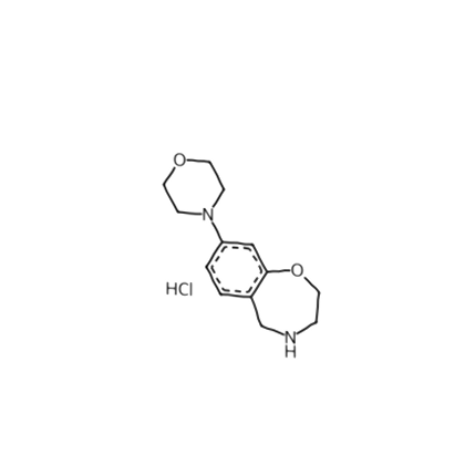 Cl.c1cc2c(cc1N1CCOCC1)OCCNC2